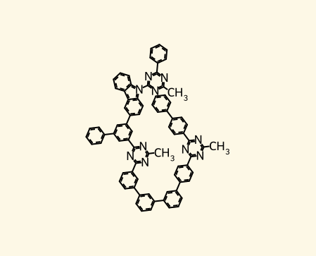 Cc1nc(-c2ccc(-c3ccccc3)cc2)nc(-c2ccc(-c3cccc(-c4cccc(-c5cccc(-c6nc(C)nc(-c7cc(-c8ccccc8)cc(-c8ccc9c(c8)c8ccccc8n9-c8nc(C)nc(-c9ccccc9)n8)c7)n6)c5)c4)c3)cc2)n1